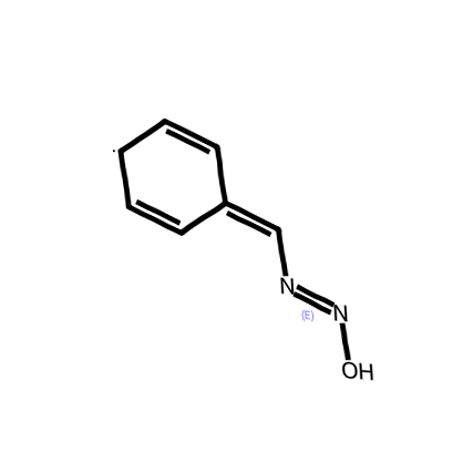 O/N=N/C=C1C=C[CH]C=C1